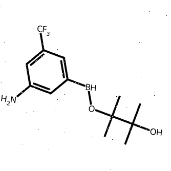 CC(C)(O)C(C)(C)OBc1cc(N)cc(C(F)(F)F)c1